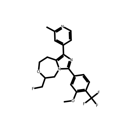 COc1cc(-c2nc(-c3ccnc(C)c3)c3n2CC(CF)OCC3)ccc1C(F)(F)F